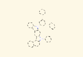 c1ccc(-c2cc(-c3ccccc3)cc(-n3c4ccccc4c4cc5c6c7ccccc7ccc6n(-c6ccccc6)c5cc43)c2)cc1